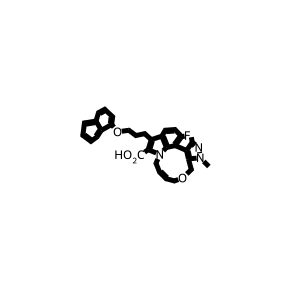 Cc1nn(C)c2c1-c1c(F)ccc3c(CCCOc4cccc5ccccc45)c(C(=O)O)n(c13)C/C=C\COC2